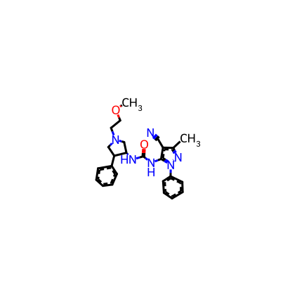 COCCN1CC(c2ccccc2)[C@H](NC(=O)Nc2c(C#N)c(C)nn2-c2ccccc2)C1